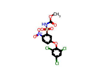 COC(=O)NS(=O)(=O)c1cc(Oc2c(Cl)cc(Cl)cc2Cl)ccc1[N+](=O)[O-]